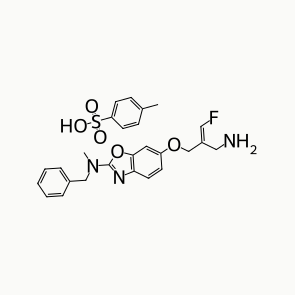 CN(Cc1ccccc1)c1nc2ccc(OCC(=CF)CN)cc2o1.Cc1ccc(S(=O)(=O)O)cc1